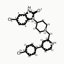 O=c1[nH]c2cc(Cl)ccc2n1C1CCN(Cc2cc(-c3ccc(Cl)cc3)ccn2)CC1